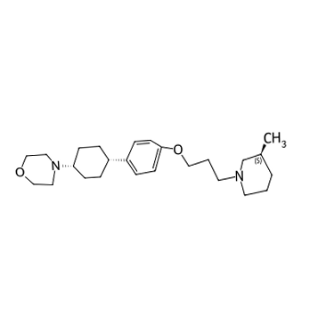 C[C@H]1CCCN(CCCOc2ccc([C@H]3CC[C@@H](N4CCOCC4)CC3)cc2)C1